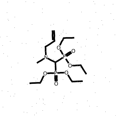 C=CCN(C)C(P(=O)(OCC)OCC)P(=O)(OCC)OCC